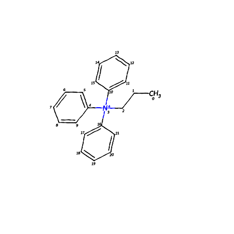 CCC[N+](c1ccccc1)(c1ccccc1)c1ccccc1